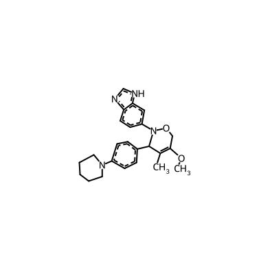 COC1=C(C)C(c2ccc(N3CCCCC3)cc2)N(c2ccc3nc[nH]c3c2)OC1